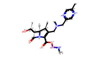 BNPOC(=O)C1=C(CN(C)Cc2cnc(C)cn2)[C@H](C)[C@@H]2[C@@H]([C@@H](C)O)C(=O)N12